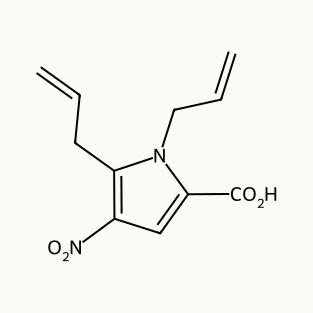 C=CCc1c([N+](=O)[O-])cc(C(=O)O)n1CC=C